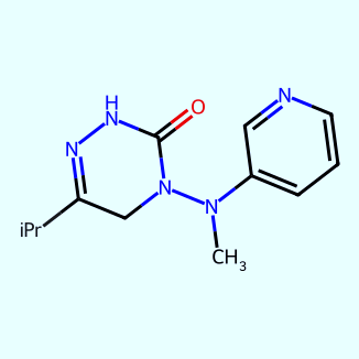 CC(C)C1=NNC(=O)N(N(C)c2cccnc2)C1